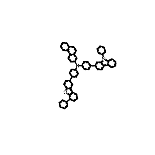 c1ccc(-c2cccc3c2oc2ccc(-c4ccc(N(c5ccc(-c6ccc7c8ccccc8n(-c8ccccc8)c7c6)cc5)c5ccc6c(ccc7ccccc76)c5)cc4)cc23)cc1